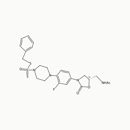 CC(=O)NC[C@H]1CN(c2ccc(N3CCN(S(=O)(=S)SCc4ccccc4)CC3)c(F)c2)C(=O)O1